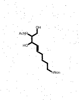 CCCCCCCCCCCCCC=CC(O)C(CO)NC(C)=O